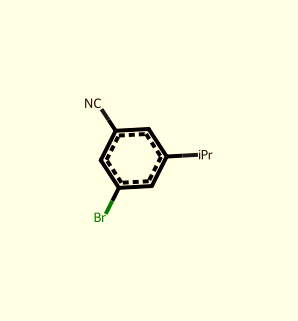 [CH2]C(C)c1cc(Br)cc(C#N)c1